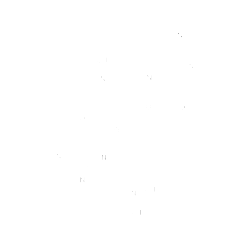 CN(C)CCn1c2c(c3nccnc31)OC(CN(C)CCn1c3c(c4ncncc41)OCCO3)CO2